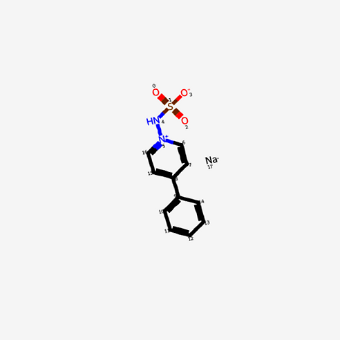 O=S(=O)([O-])N[n+]1ccc(-c2ccccc2)cc1.[Na]